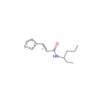 CCCC(CC)NC(=O)/C=C/c1ccsc1